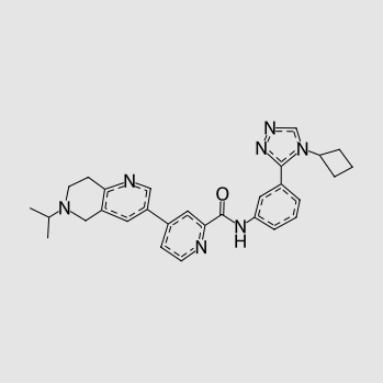 CC(C)N1CCc2ncc(-c3ccnc(C(=O)Nc4cccc(-c5nncn5C5CCC5)c4)c3)cc2C1